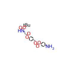 CC(C)(C)OC(=O)NCCC(=O)Oc1ccc(COC(=O)Oc2ccc(N)cc2)cc1